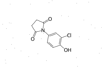 O=C1CCC(=O)N1c1ccc(O)c(Cl)c1